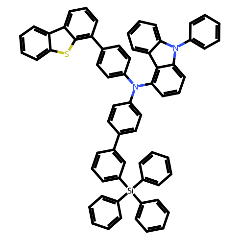 c1ccc(-n2c3ccccc3c3c(N(c4ccc(-c5cccc([Si](c6ccccc6)(c6ccccc6)c6ccccc6)c5)cc4)c4ccc(-c5cccc6c5sc5ccccc56)cc4)cccc32)cc1